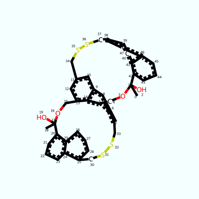 CC1(O)OCc2cc3cc4cc(cc(c24)COC(C)(O)c2cccc4c(cccc24)CSSC3)CSSCc2ccc3c1cccc3c2